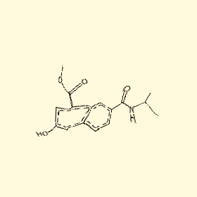 COC(=O)c1cc(O)cc2ccc(C(=O)NC(C)C)cc12